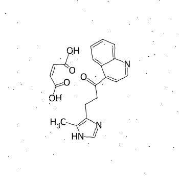 Cc1[nH]cnc1CCC(=O)c1ccnc2ccccc12.O=C(O)/C=C\C(=O)O